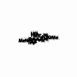 CNc1nc2ccc(CCc3nc4cc(OC)ccn4c3C)cc2o1.Cl.Cl